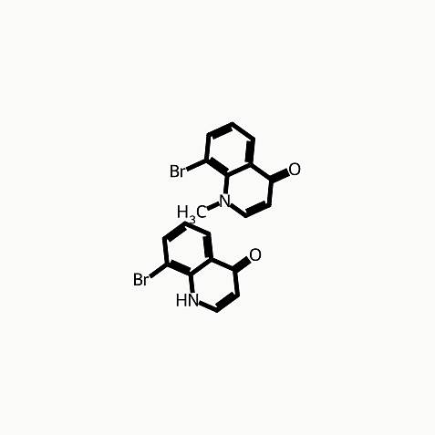 Cn1ccc(=O)c2cccc(Br)c21.O=c1cc[nH]c2c(Br)cccc12